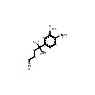 COc1ccc(C(C#N)(CCCBr)C(C)C)cc1OC